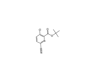 CC(C)(C)OC(=O)c1nc(C#N)ccc1Cl